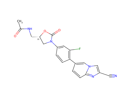 CC(=O)NC[C@H]1CN(c2ccc(-c3ccc4nc(C#N)cn4c3)c(F)c2)C(=O)O1